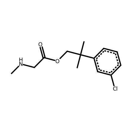 CNCC(=O)OCC(C)(C)c1cccc(Cl)c1